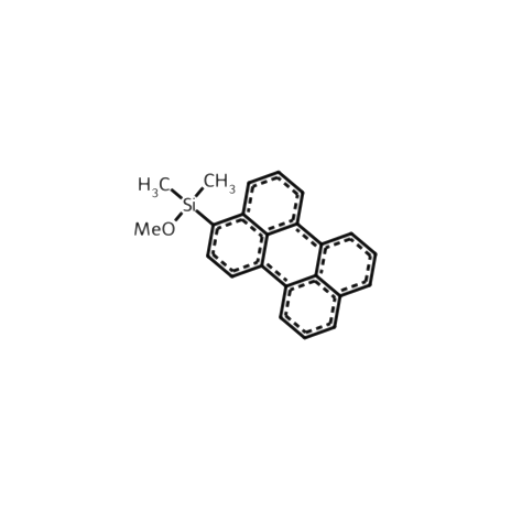 CO[Si](C)(C)c1ccc2c3cccc4cccc(c5cccc1c52)c43